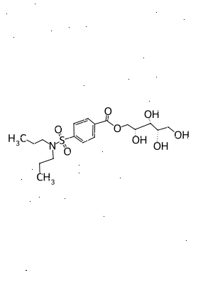 CCCN(CCC)S(=O)(=O)c1ccc(C(=O)OC[C@@H](O)[C@H](O)[C@@H](O)CO)cc1